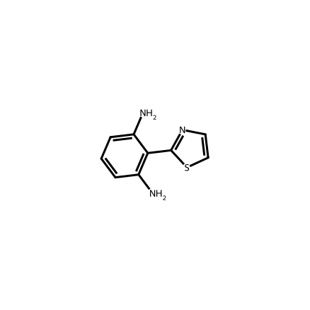 Nc1cccc(N)c1-c1nccs1